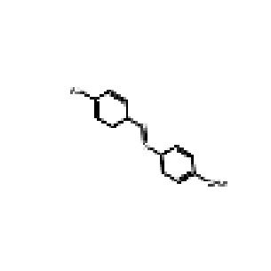 COC1=CCC(N=NC2C=CC(C(C)=O)=CC2)C=C1